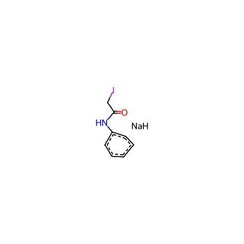 O=C(CI)Nc1ccccc1.[NaH]